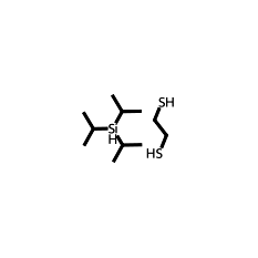 CC(C)[SiH](C(C)C)C(C)C.SCCS